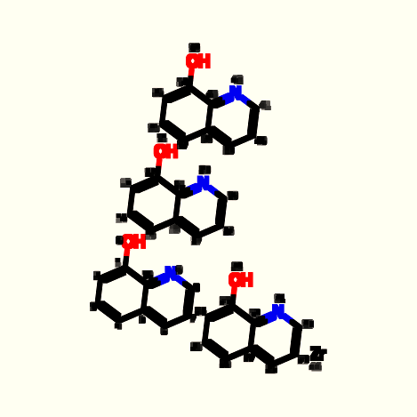 Oc1cccc2cccnc12.Oc1cccc2cccnc12.Oc1cccc2cccnc12.Oc1cccc2cccnc12.[Zr]